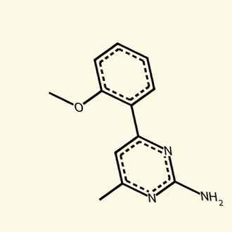 COc1ccccc1-c1cc(C)nc(N)n1